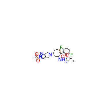 CS(=O)(=O)n1cc2c(n1)CN([C@H]1CCS[C@@](OC(=O)C(F)(F)F)(c3cc(F)ccc3F)[C@@H](N)C1)C2